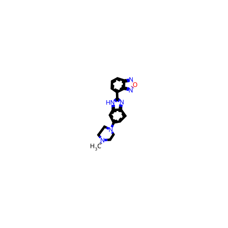 CN1CCN(c2ccc3nc(-c4cccc5nonc45)[nH]c3c2)CC1